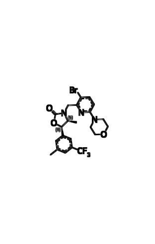 Cc1cc([C@H]2OC(=O)N(Cc3nc(N4CCOCC4)ccc3Br)[C@H]2C)cc(C(F)(F)F)c1